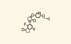 O=C1CCc2c(F)cc(N3CC[C@@H](Oc4ccc(OCC5CC5)nc4)C3=O)c(F)c21